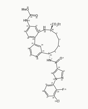 CCOC(=O)[C@H]1CCCC[C@H](NC(=O)c2cnn(-c3cccc(Cl)c3F)c2)c2cc(ccn2)-c2ccc(NC(=O)OC)cc2N1